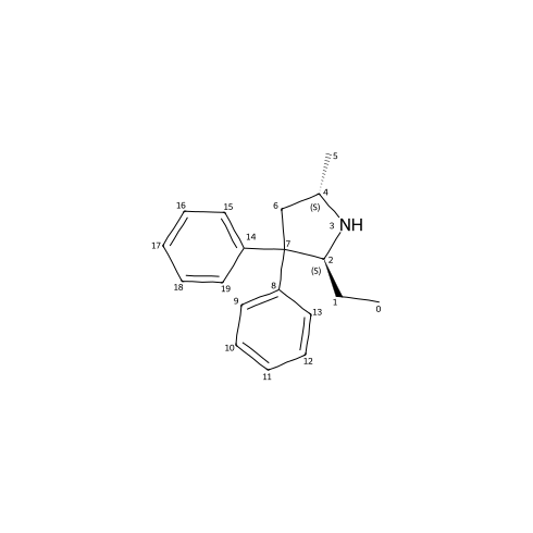 CC[C@@H]1N[C@@H](C)CC1(c1ccccc1)c1ccccc1